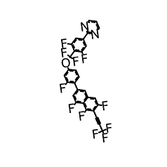 Fc1cc(OC(F)(F)c2c(F)cc(-c3ncccn3)cc2F)ccc1-c1cc(F)c2c(F)c(C#CC(F)(F)F)c(F)cc2c1